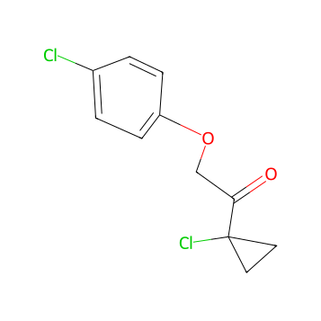 O=C(COc1ccc(Cl)cc1)C1(Cl)CC1